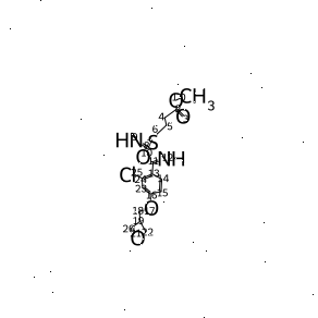 COC(=O)CCCSC(=N)OC(=N)c1ccc(OCC2COC2)cc1Cl